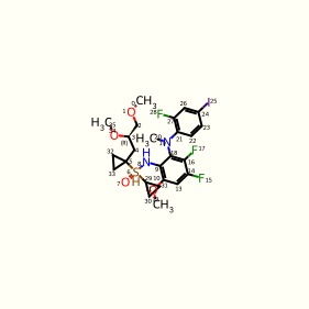 COC[C@@H](CC1([SH](=O)(Nc2c(OC)cc(F)c(F)c2N(C)c2ccc(I)cc2F)C2CC2)CC1)OC